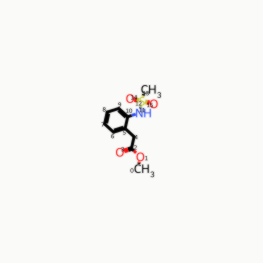 COC(=O)Cc1ccccc1NS(C)(=O)=O